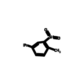 Cc1ccc(C(C)C)cc1[SH](=O)=O